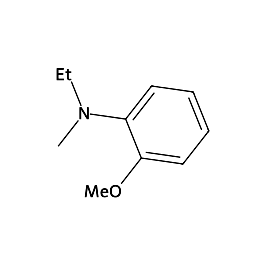 CCN(C)c1ccccc1OC